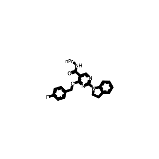 CCCNC(=O)c1cnc(N2CCc3ccccc32)nc1OCc1ccc(F)cc1